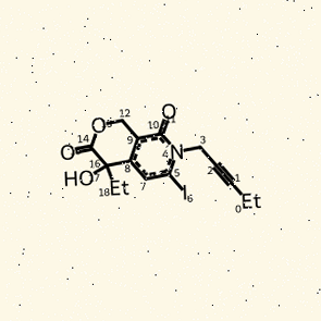 CCC#CCn1c(I)cc2c(c1=O)COC(=O)C2(O)CC